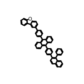 c1ccc(-c2c(-c3ccc(-c4c5ccccc5c(-c5ccc(-c6ccc7oc8ccccc8c7c6)cc5)c5ccccc45)cc3)ccc3ccccc23)cc1